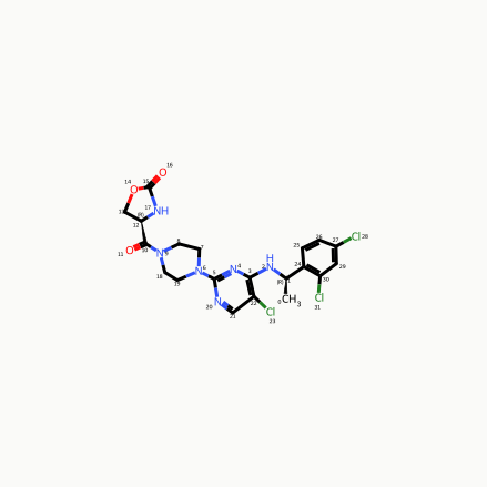 C[C@@H](Nc1nc(N2CCN(C(=O)[C@H]3COC(=O)N3)CC2)ncc1Cl)c1ccc(Cl)cc1Cl